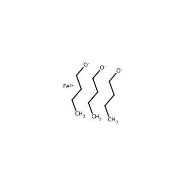 CCCC[O-].CCCC[O-].CCCC[O-].[Fe+3]